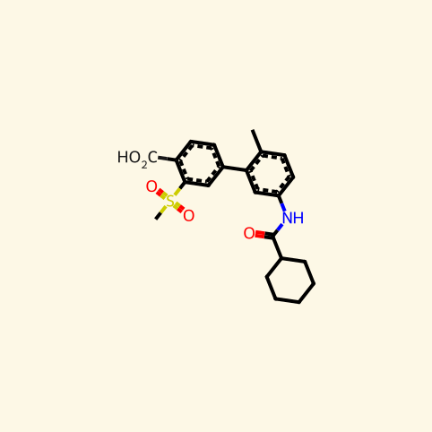 Cc1ccc(NC(=O)C2CCCCC2)cc1-c1ccc(C(=O)O)c(S(C)(=O)=O)c1